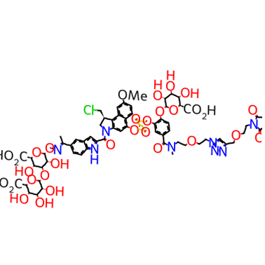 COc1ccc2c(OS(=O)(=O)Oc3cc(C(=O)N(C)CCOCCn4cc(COCCN5C(=O)C=CC5=O)nn4)ccc3O[C@@H]3O[C@H](C(=O)O)[C@@H](O)[C@H](O)[C@H]3O)cc3c(c2c1)[C@H](CCl)CN3C(=O)c1cc2cc(/C(C)=N/O[C@@H]3O[C@H](C(=O)O)[C@@H](O)[C@H](OC4OC(C(=O)O)[C@@H](O)[C@H](O)[C@H]4O)[C@H]3O)ccc2[nH]1